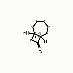 O=C1C[C@@H]2CCCCC[C@H]12